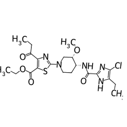 CCOC(=O)c1sc(N2CC[C@@H](NC(=O)c3nc(Cl)c(CC)[nH]3)[C@@H](OC)C2)nc1C(=O)CC